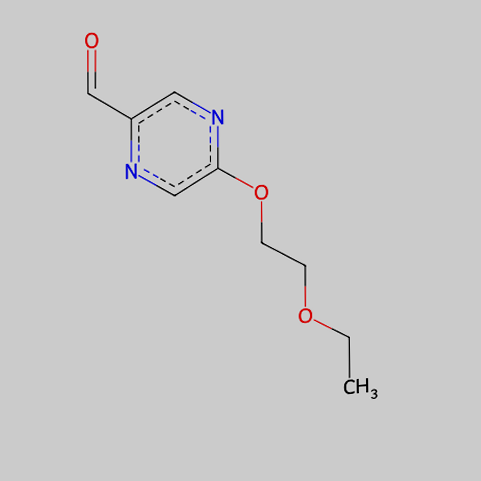 CCOCCOc1cnc(C=O)cn1